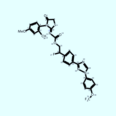 COc1ccc(N2C(=O)CS/C2=N\C(=O)OCC(F)c2ccc(-c3ncn(-c4ccc(OC(F)(F)F)cc4)n3)cc2)c(C)c1